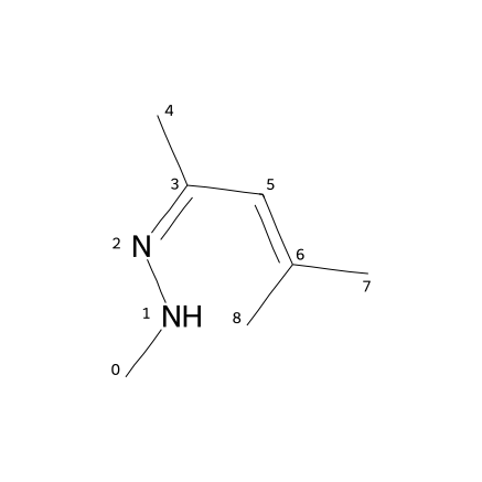 CN/N=C(/C)C=C(C)C